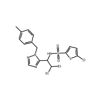 CCC(CC)C(NS(=O)(=O)c1ccc(Cl)s1)c1ncnn1Cc1ccc(C)cc1